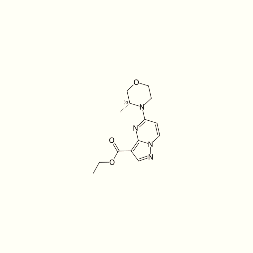 CCOC(=O)c1cnn2ccc(N3CCOC[C@H]3C)nc12